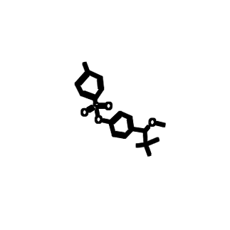 COC(c1ccc(OS(=O)(=O)c2ccc(C)cc2)cc1)C(C)(C)C